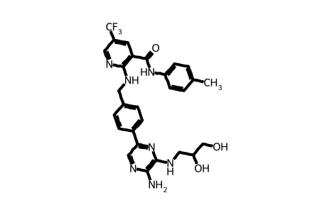 Cc1ccc(NC(=O)c2cc(C(F)(F)F)cnc2NCc2ccc(-c3cnc(N)c(NCC(O)CO)n3)cc2)cc1